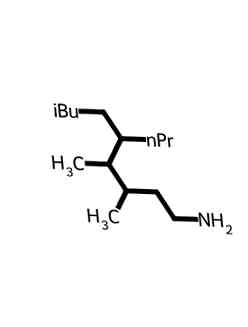 CCCC(CC(C)CC)C(C)C(C)CCN